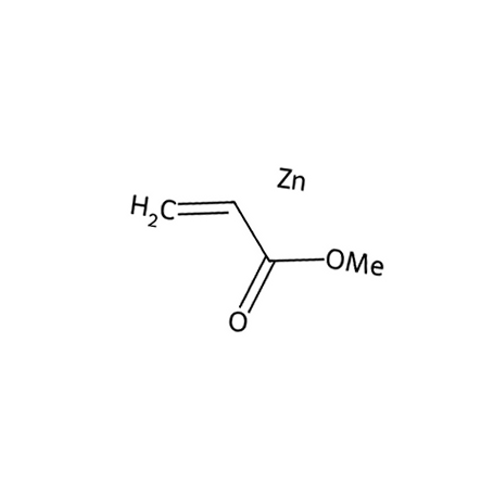 C=CC(=O)OC.[Zn]